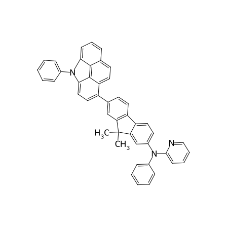 CC1(C)c2cc(-c3ccc4c5c3ccc3cccc(c35)n4-c3ccccc3)ccc2-c2ccc(N(c3ccccc3)c3ccccn3)cc21